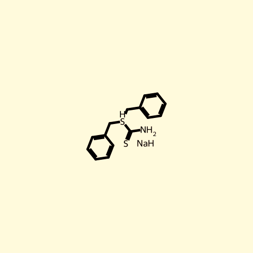 NC(=S)[SH](Cc1ccccc1)Cc1ccccc1.[NaH]